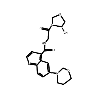 N#C[C@@H]1CSCN1C(=O)CNC(=O)c1ccnc2ccc(N3CCCOC3)cc12